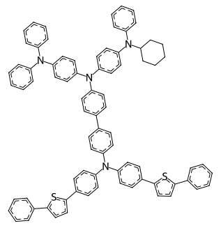 c1ccc(-c2ccc(-c3ccc(N(c4ccc(-c5ccc(N(c6ccc(N(c7ccccc7)c7ccccc7)cc6)c6ccc(N(c7ccccc7)C7CCCCC7)cc6)cc5)cc4)c4ccc(-c5ccc(-c6ccccc6)s5)cc4)cc3)s2)cc1